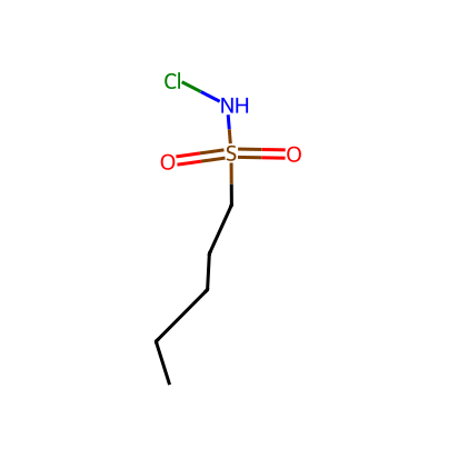 CCCCCS(=O)(=O)NCl